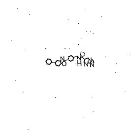 O=C(NCc1ccc(-c2nc3cc(-c4ccccc4)ccc3o2)cc1)c1cnc2nccn2c1